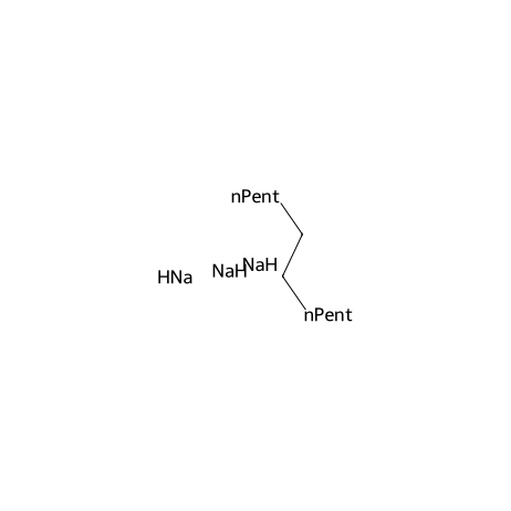 [CH2]CCCCCCCCCCC.[NaH].[NaH].[NaH]